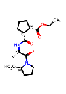 CC(=O)OCOC(=O)[C@H]1CCC[C@H]1C(=O)N[C@@H](C)C(=O)N1CCC[C@H]1C(=O)O